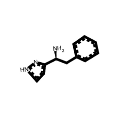 N[C@@H](Cc1ccccc1)c1cc[nH]n1